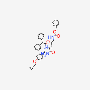 NC(=O)[C@@H](CCCNC(=O)OCc1ccccc1)N(CCc1ccc(OCC2CC2)cc1)C(=O)C(c1ccccc1)c1ccccc1